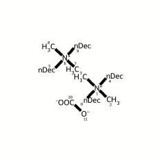 CCCCCCCCCC[N+](C)(C)CCCCCCCCCC.CCCCCCCCCC[N+](C)(C)CCCCCCCCCC.O=C([O-])[O-]